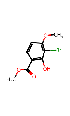 COC(=O)c1ccc(OC)c(Br)c1O